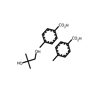 CC(C)(O)CO.Cc1ccc(C(=O)O)cc1.Cc1ccc(C(=O)O)cc1